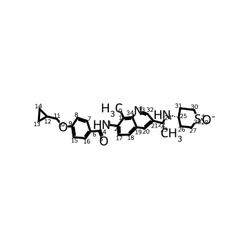 Cc1c(NC(=O)c2ccc(OCC3CC3)cc2)ccc2cc([C@@H](C)N[C@H]3CC[S@@+]([O-])CC3)cnc12